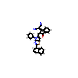 N#CC(C#N)=C1/C(=C/c2cc3sc(-c4cccc5ccccc45)nc3n2-c2ccccc2)C(=O)c2ccccc21